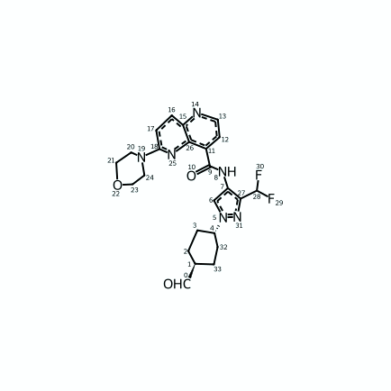 O=C[C@H]1CC[C@H](n2cc(NC(=O)c3ccnc4ccc(N5CCOCC5)nc34)c(C(F)F)n2)CC1